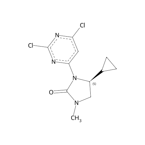 CN1C[C@H](C2CC2)N(c2cc(Cl)nc(Cl)n2)C1=O